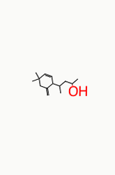 C=C1CC(C)(C)C=CC1C(C)CC(C)O